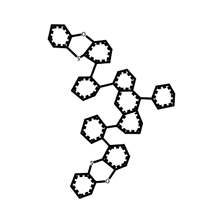 c1ccc(-c2c3cccc(-c4ccccc4-c4cccc5c4Sc4ccccc4O5)c3cc3c(-c4ccccc4-c4cccc5c4Sc4ccccc4O5)cccc23)cc1